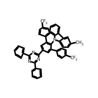 Cc1ccc2c(c1)c1ccccc1n2-c1c(-c2ccc(C(F)(F)F)cc2)cc(-c2nc(-c3ccccc3)nc(-c3ccccc3)n2)cc1-c1ccc(C(F)(F)F)cc1